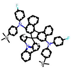 C[Si](C)(C)c1ccc(N(c2ccc(F)cc2)c2cc3c(c4ccccc24)-c2c(cc(N(c4ccc(F)cc4)c4ccc([Si](C)(C)C)cc4)c4ccccc24)C32c3ccccc3-n3c4ccccc4c4cccc2c43)cc1